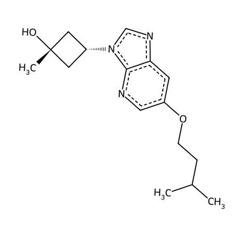 CC(C)CCOc1cnc2c(c1)ncn2[C@H]1C[C@@](C)(O)C1